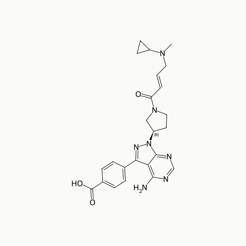 CN(CC=CC(=O)N1CC[C@@H](n2nc(-c3ccc(C(=O)O)cc3)c3c(N)ncnc32)C1)C1CC1